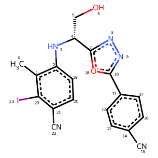 Cc1c(N[C@H](CO)c2nnc(-c3ccc(C#N)cc3)o2)ccc(C#N)c1I